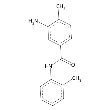 Cc1ccc(C(=O)Nc2ccccc2C)cc1N